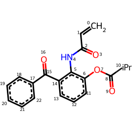 C=CC(=O)Nc1c(OC(=O)C(C)C)cccc1C(=O)c1ccccc1